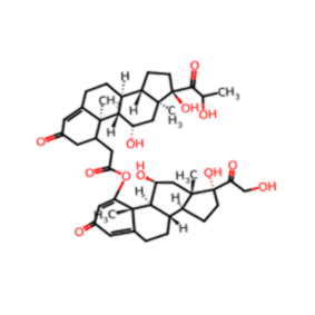 CC(O)C(=O)[C@@]1(O)CC[C@H]2[C@@H]3CCC4=CC(=O)CC(CC(=O)OC5=CC(=O)C=C6CC[C@@H]7[C@H]([C@@H](O)C[C@@]8(C)[C@H]7CC[C@]8(O)C(=O)CO)[C@]65C)[C@]4(C)[C@H]3[C@@H](O)C[C@@]21C